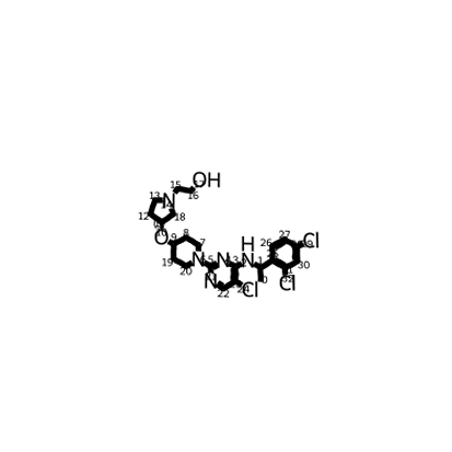 CC(Nc1nc(N2CCC(O[C@H]3CCN(CCO)C3)CC2)ncc1Cl)c1ccc(Cl)cc1Cl